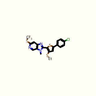 CCSc1cc(-c2ccc(Cl)cc2)sc1-c1nc2cc(SC(F)(F)F)ncc2n1C